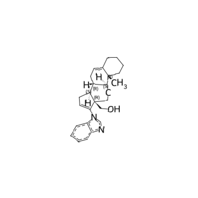 C[C@]12CCCCC1=CC[C@H]1[C@@H]3CC=C(n4cnc5ccccc54)[C@@]3(CO)CC[C@@H]12